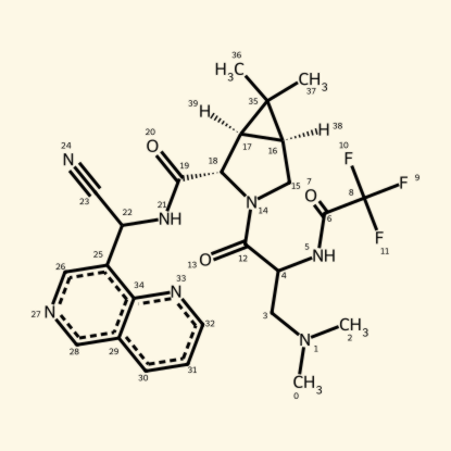 CN(C)CC(NC(=O)C(F)(F)F)C(=O)N1C[C@H]2[C@@H]([C@H]1C(=O)NC(C#N)c1cncc3cccnc13)C2(C)C